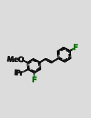 COc1cc(/C=C/c2ccc(F)cc2)cc(F)c1C(C)C